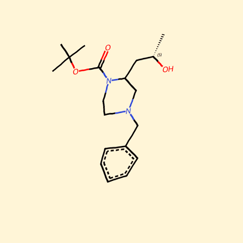 C[C@H](O)CC1CN(Cc2ccccc2)CCN1C(=O)OC(C)(C)C